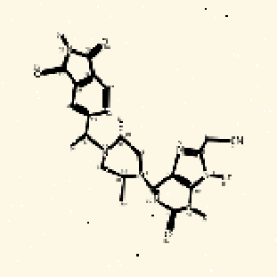 CCn1c(CC#N)nc2c(N3C[C@@H](C)N(C(C)c4ccc5c(c4)C(=O)N(C)C5=O)C[C@@H]3C)nc(=O)n(C)c21